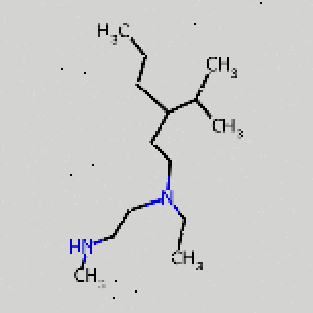 CCCC(CCN(CC)CCNC)C(C)C